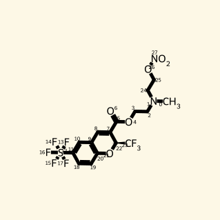 CN(CCOC(=O)C1=Cc2cc(S(F)(F)(F)(F)F)ccc2O[C@@H]1C(F)(F)F)CCO[N+](=O)[O-]